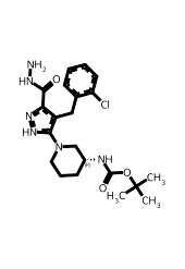 CC(C)(C)OC(=O)N[C@@H]1CCCN(c2[nH]nc(C(=O)NN)c2Cc2ccccc2Cl)C1